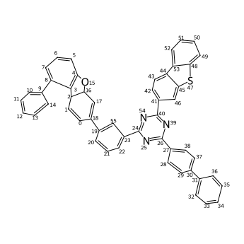 C1=CC2c3c(cccc3-c3ccccc3)OC2C=C1c1cccc(-c2nc(-c3ccc(-c4ccccc4)cc3)nc(-c3ccc4c(c3)sc3ccccc34)n2)c1